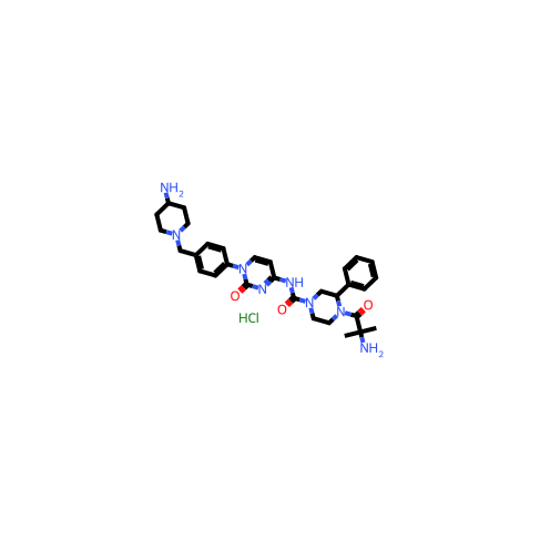 CC(C)(N)C(=O)N1CCN(C(=O)Nc2ccn(-c3ccc(CN4CCC(N)CC4)cc3)c(=O)n2)CC1c1ccccc1.Cl